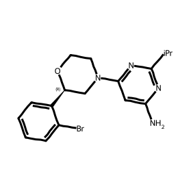 CC(C)c1nc(N)cc(N2CCO[C@H](c3ccccc3Br)C2)n1